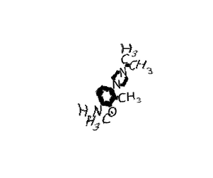 COc1c(N)ccc(N2CCN(C(C)C)CC2)c1C